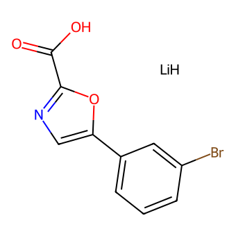 O=C(O)c1ncc(-c2cccc(Br)c2)o1.[LiH]